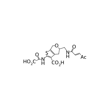 CC(=O)C=CC(=O)NCC1Cc2c(sc(NC(=O)C(=O)O)c2C(=O)O)CO1